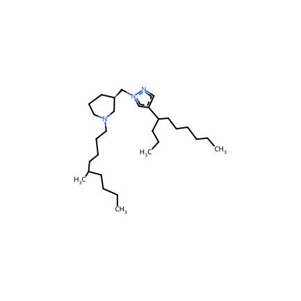 CCCCCCC(CCC)c1cnn(C[C@@H]2CCCN(CCCCC(C)CCCC)C2)c1